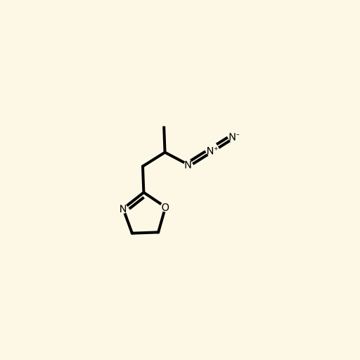 CC(CC1=NCCO1)N=[N+]=[N-]